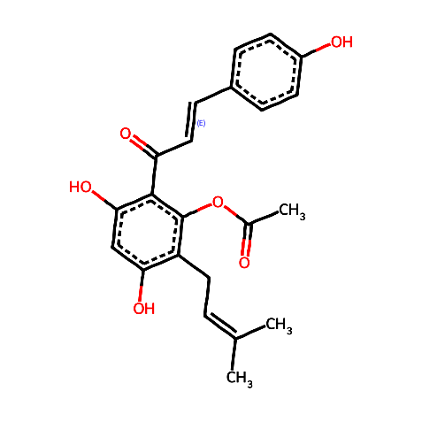 CC(=O)Oc1c(CC=C(C)C)c(O)cc(O)c1C(=O)/C=C/c1ccc(O)cc1